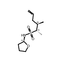 C=CC[C@@H](C)[C@H](C)S(=O)(=O)N[C@@H]1CCCO1